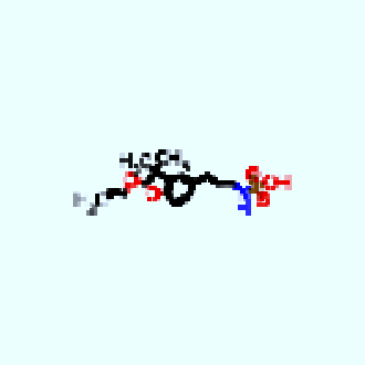 C=CCOC1Oc2ccc(CCCNS(=O)(=O)O)cc2C1(C)C